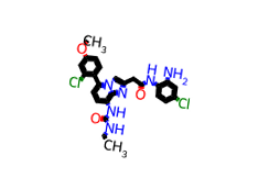 CCNC(=O)Nc1ccc(-c2ccc(OC)cc2Cl)n2cc(CC(=O)Nc3ccc(Cl)cc3N)nc12